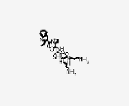 CCc1nc2ccccc2cc1C(=O)N1CCC[C@H]1C(=O)NC(CS)C(=O)N[C@@H](CCCCN)C(=O)NCCCN